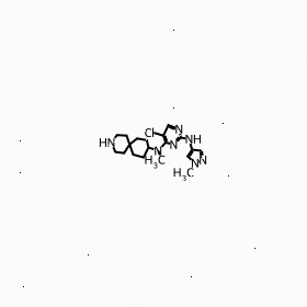 CN(c1nc(Nc2cnn(C)c2)ncc1Cl)C1CCC2(CCNCC2)CC1